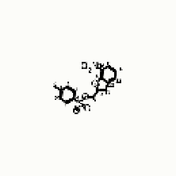 Cc1ccc(S(=O)(=O)OCC2Cc3cccc([N+](=O)[O-])c3O2)cc1